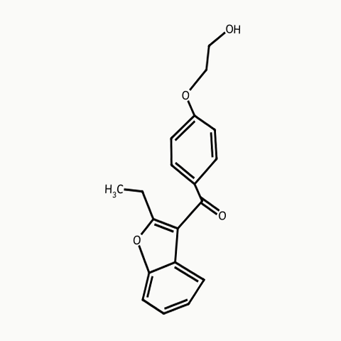 CCc1oc2ccccc2c1C(=O)c1ccc(OCCO)cc1